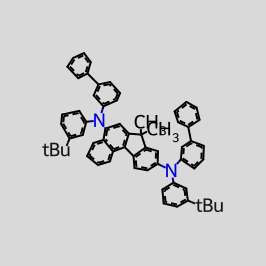 CC(C)(C)c1cccc(N(c2cccc(-c3ccccc3)c2)c2ccc3c(c2)C(C)(C)c2cc(N(c4cccc(-c5ccccc5)c4)c4cccc(C(C)(C)C)c4)c4ccccc4c2-3)c1